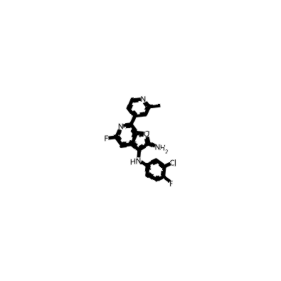 Cc1cc(-c2nc(F)cc3c(Nc4ccc(F)c(Cl)c4)c(N)oc23)ccn1